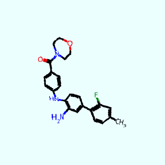 Cc1ccc(-c2ccc(Nc3ccc(C(=O)N4CCOCC4)cc3)c(N)c2)c(F)c1